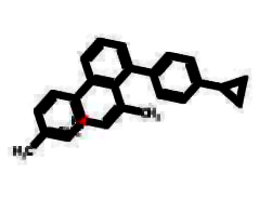 C/C(=C/NC=O)c1c(-c2ccc(C)cc2)cccc1-c1ccc(C2CC2)cc1